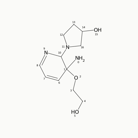 NC1(OCCO)C=CC=NC1N1CCC(O)C1